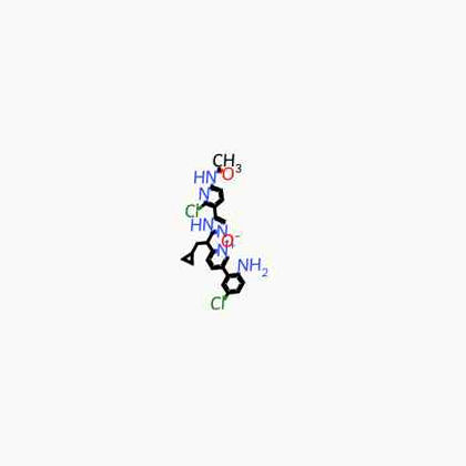 CC(=O)Nc1ccc(-c2cnc(C(CC3CC3)c3ccc(-c4cc(Cl)ccc4N)c[n+]3[O-])[nH]2)c(Cl)n1